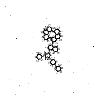 c1ccc(-c2ccc(-c3cc(-c4ccc(-c5cc6ccc7cccc8c9cccc%10ccc%11cccc(c(c5)c6c78)c%11c%109)c5ccccc45)nc(-c4ccccc4)n3)cc2)cc1